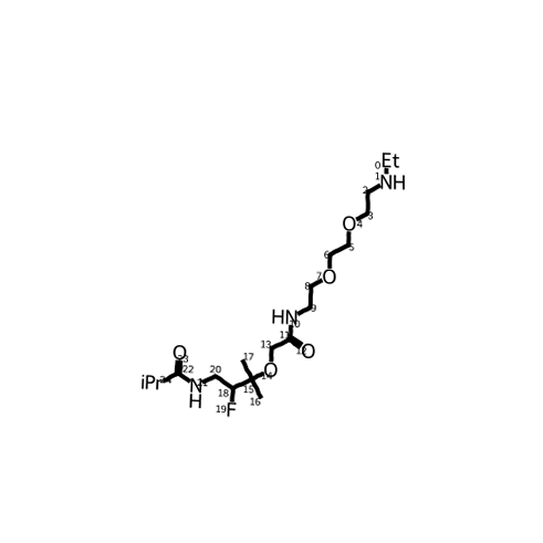 CCNCCOCCOCCNC(=O)COC(C)(C)C(F)CNC(=O)C(C)C